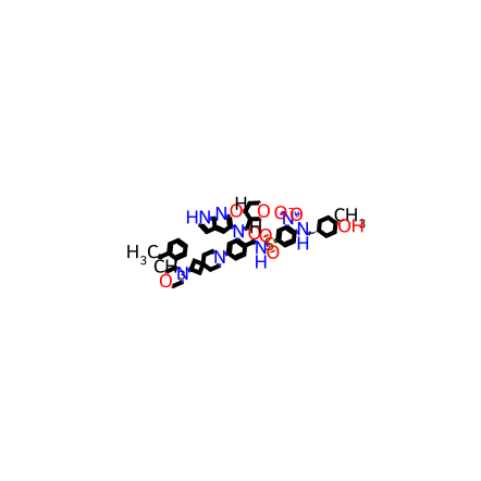 CC(C)c1ccccc1[C@@H]1COCCN1C1CC2(CCN(c3ccc(C(=O)NS(=O)(=O)c4ccc(NC[C@H]5CC[C@](C)(O)CC5)c([N+](=O)[O-])c4)c(N4C[C@H]5COCC[C@@H]5Oc5nc6[nH]ccc6cc54)c3)CC2)C1